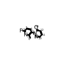 Cc1nc(F)ccc1-n1ncccc1=O